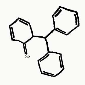 [Se]=C1C=CC=CC1C(c1ccccc1)c1ccccc1